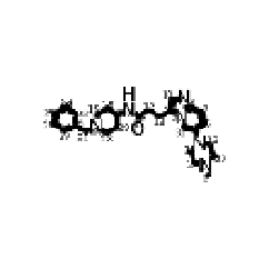 CN1CCN(c2ccc3ncc(CCC(=O)NC4CCN(Cc5ccccc5)CC4)n3c2)CC1